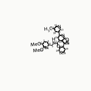 COc1ccc(CNC(=O)c2cc(-c3cncc(C)c3)nc3onc(-c4ccncc4)c23)nc1OC